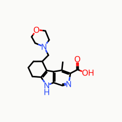 Cc1c(C(=O)O)ncc2[nH]c3c(c12)C(CN1CCOCC1)CCC3